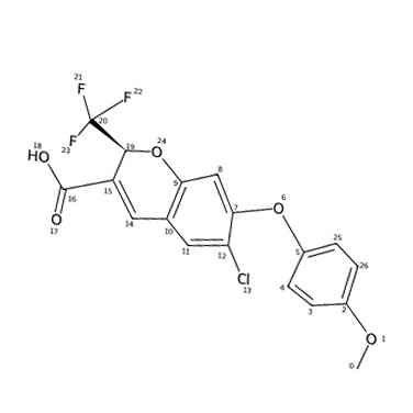 COc1ccc(Oc2cc3c(cc2Cl)C=C(C(=O)O)[C@@H](C(F)(F)F)O3)cc1